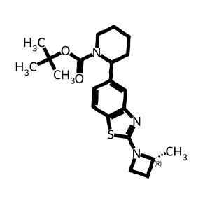 C[C@@H]1CCN1c1nc2cc(C3CCCCN3C(=O)OC(C)(C)C)ccc2s1